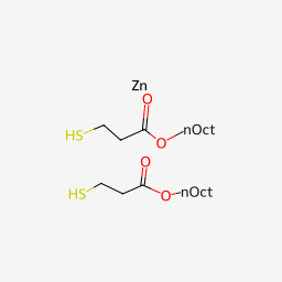 CCCCCCCCOC(=O)CCS.CCCCCCCCOC(=O)CCS.[Zn]